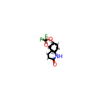 O=C1CCc2c(ccc3c2OC(F)(F)O3)N1